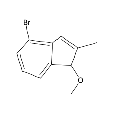 COC1C(C)=Cc2c(Br)cccc21